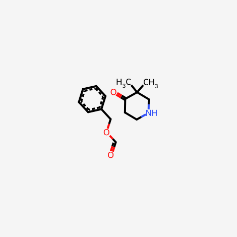 CC1(C)CNCCC1=O.O=COCc1ccccc1